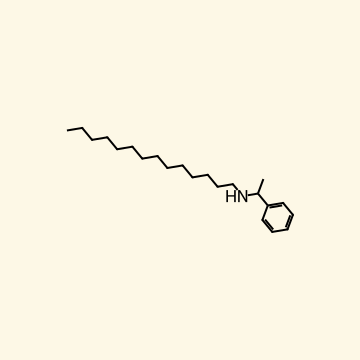 CCCCCCCCCCCCCCNC(C)c1ccccc1